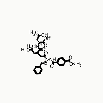 COC(=O)c1ccc(C(=O)NN(OCc2ccccc2)C(=O)CC(CC(C)C)C(=O)N[C@@H](CC(C)C)C(=O)O)cc1